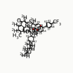 [2H]c1c(C)c([2H])c2c(c1[2H])c(=O)c([2H])c(SC([2H])([2H])c1cccc(F)c1F)n2CC(=O)N(C1CCN(C([2H])([2H])C([2H])([2H])OC([2H])([2H])[2H])CC1)C([2H])([2H])c1ccc(-c2ccc(C(F)(F)F)cc2)cc1